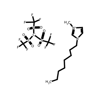 CCCCCCCCn1cc[n+](C)c1.O=S(=O)([C-](S(=O)(=O)C(F)(F)F)S(=O)(=O)C(F)(F)F)C(F)(F)F